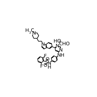 CN1CCC(CCn2ccc3cc(-c4cc(Nc5ccc(NS(=O)(=O)c6c(F)cccc6F)cc5)ncn4)ccc32)CC1.O=CO